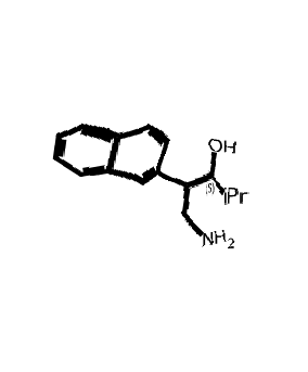 CC(C)[C@H](O)C(CN)c1ccc2ccccc2c1